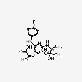 C[C@H](Nc1nccc(Nc2ccc(F)cc2)n1)C(C)(C)O.O=C(O)C(=O)O